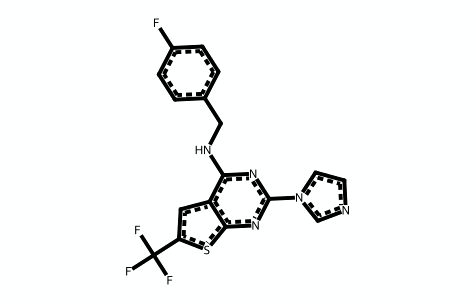 Fc1ccc(CNc2nc(-n3ccnc3)nc3sc(C(F)(F)F)cc23)cc1